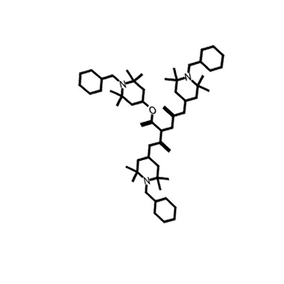 C=C(CC1CC(C)(C)N(CC2CCCCC2)C(C)(C)C1)CC(C(=C)CC1CC(C)(C)N(CC2CCCCC2)C(C)(C)C1)C(=C)OC1CC(C)(C)N(CC2CCCCC2)C(C)(C)C1